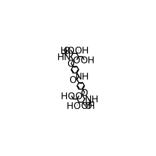 CC(=O)NC1C(O)[C@H](O)C(CO)O[C@H]1Oc1ccc(NC(=O)c2ccc(O[C@@H]3OC(CO)[C@@H](O)C(O)C3NC(C)=O)cc2)cc1